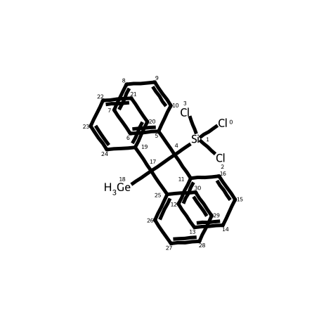 Cl[Si](Cl)(Cl)C(c1ccccc1)(c1ccccc1)[C]([GeH3])(c1ccccc1)c1ccccc1